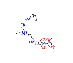 CN1CC(c2cccc(-c3cn([C@H]4C[C@H](CNc5ccc6c(c5)C(=O)N(C5CCC(=O)NC5=O)C6=O)C4)nc3C3CC3)n2)C1